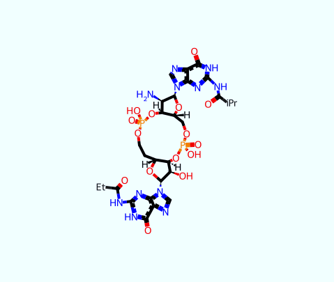 CCC(=O)Nc1nc2c(ncn2[C@@H]2O[C@@H]3CCOP(=O)(O)O[C@H]4[C@@H](N)[C@H](n5cnc6c(=O)[nH]c(NC(=O)C(C)C)nc65)O[C@@H]4COP(=O)(O)O[C@H]3[C@H]2O)c(=O)[nH]1